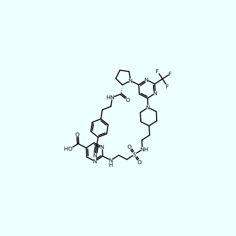 N#Cc1ccc(CCNC(=O)[C@@H]2CCCN2c2cc(N3CCC(CCNS(=O)(=O)CCNc4ncc(C(=O)O)cn4)CC3)nc(C(F)(F)F)n2)cc1